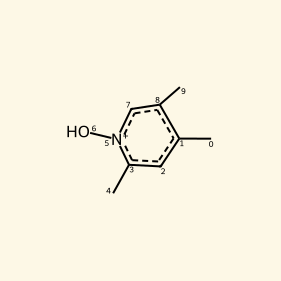 Cc1cc(C)[n+](O)cc1C